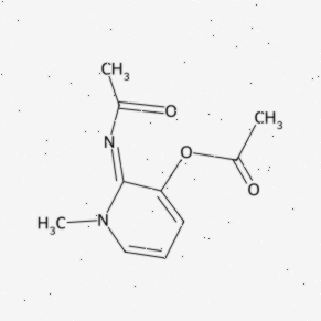 CC(=O)N=c1c(OC(C)=O)cccn1C